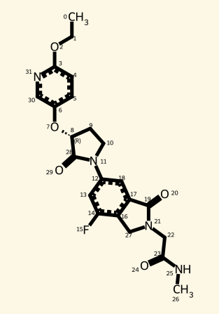 CCOc1ccc(O[C@@H]2CCN(c3cc(F)c4c(c3)C(=O)N(CC(=O)NC)C4)C2=O)cn1